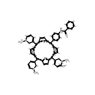 CN1C=CC=C(c2c3nc(c(C4=CC=CN(C)C4)c4ccc([nH]4)c(-c4ccc(NC(=O)c5ccccc5)cc4)c4nc(c(C5=CC=CN(C)C5)c5ccc2[nH]5)C=C4)C=C3)C1.Cl